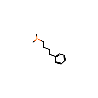 CP(C)CCCCc1ccccc1